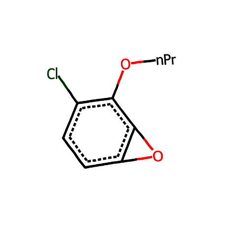 CCCOc1c(Cl)ccc2c1O2